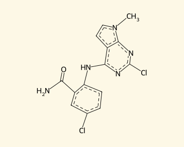 Cn1ccc2c(Nc3ccc(Cl)cc3C(N)=O)nc(Cl)nc21